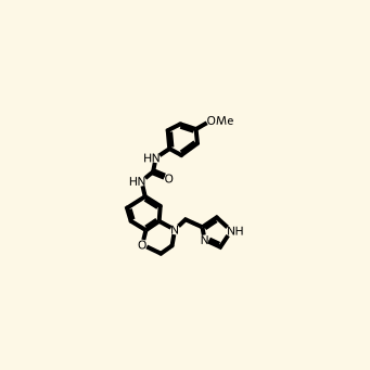 COc1ccc(NC(=O)Nc2ccc3c(c2)N(Cc2c[nH]cn2)CCO3)cc1